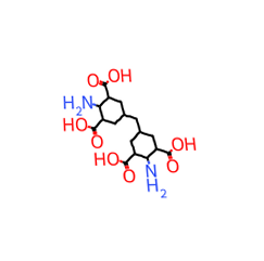 NC1C(C(=O)O)CC(CC2CC(C(=O)O)C(N)C(C(=O)O)C2)CC1C(=O)O